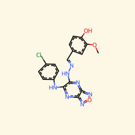 COc1cc(C=NNc2nc3nonc3nc2Nc2ccc(Cl)cc2)ccc1O